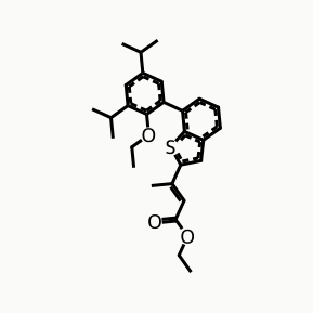 CCOC(=O)C=C(C)c1cc2cccc(-c3cc(C(C)C)cc(C(C)C)c3OCC)c2s1